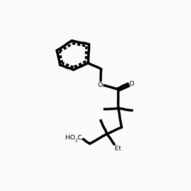 CCC(C)(CC(=O)O)CC(C)(C)C(=O)OCc1ccccc1